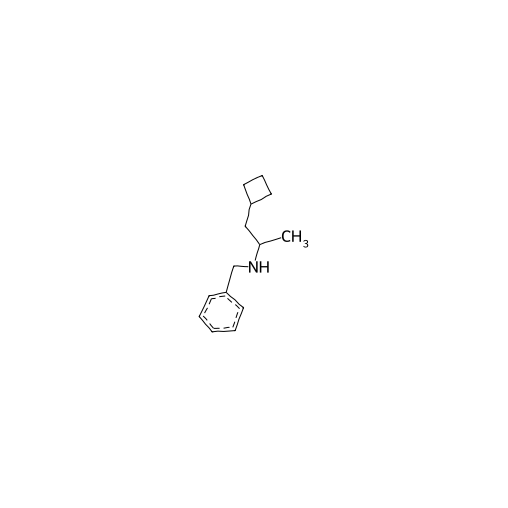 CC(CC1CCC1)NCc1ccccc1